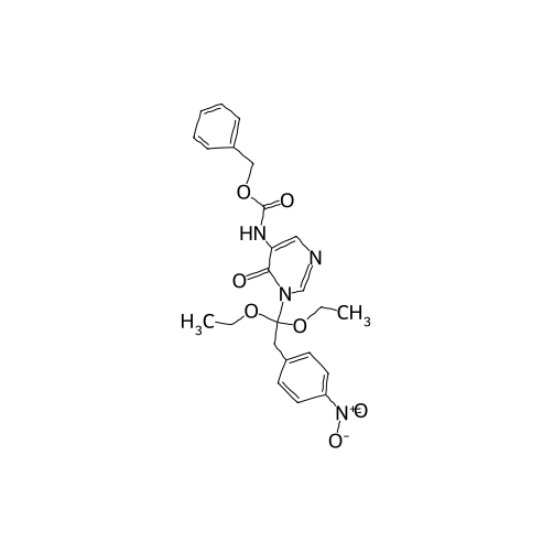 CCOC(Cc1ccc([N+](=O)[O-])cc1)(OCC)n1cncc(NC(=O)OCc2ccccc2)c1=O